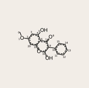 COc1cc(O)c2c(=O)c(-c3ccccc3)c(O)oc2c1